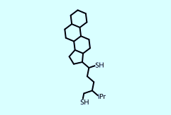 CC(C)C(CS)CCC(S)C1CCC2C1CCC1C3CCCCC3CCC12